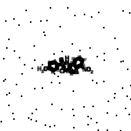 Cc1ccc(S(=O)(=O)Nc2c(Cl)cnc3c([N+](=O)[O-])cccc23)cc1